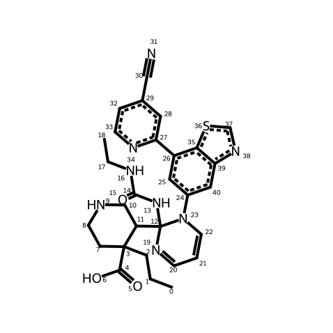 CCCC1(C(=O)O)CCNCC1C1(NC(=O)NCC)N=CC=CN1c1cc(-c2cc(C#N)ccn2)c2scnc2c1